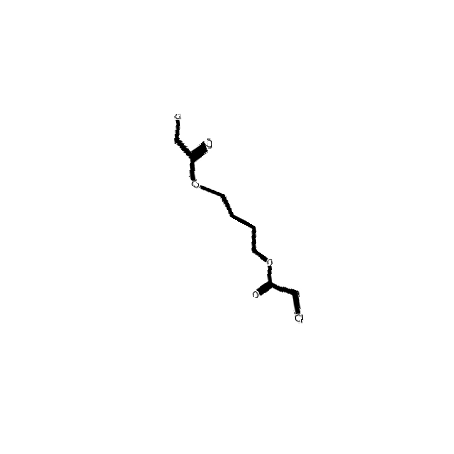 O=C(CCl)OCCCCOC(=O)CCl